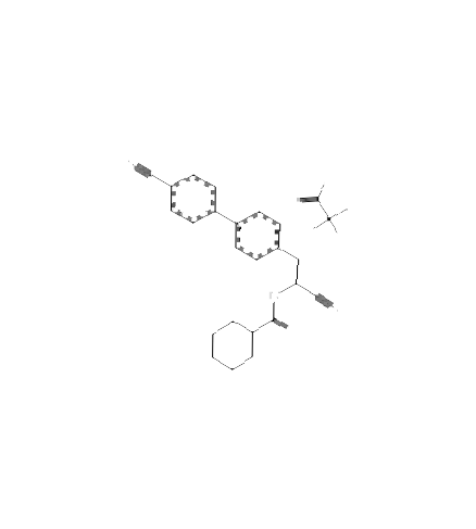 N#Cc1ccc(-c2ccc(CC(C#N)NC(=O)C3CCCCC3)cc2)cc1.O=C(O)C(F)(F)F